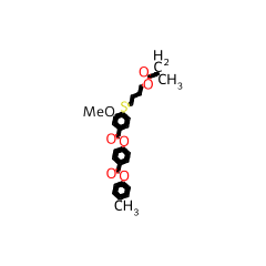 C=C(C)C(=O)OCCCCSc1ccc(C(=O)Oc2ccc(C(=O)Oc3ccc(C)cc3)cc2)cc1OC